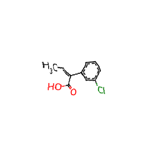 CC=C(C(=O)O)c1cccc(Cl)c1